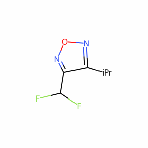 CC(C)c1nonc1C(F)F